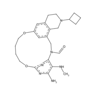 CNc1c(N)nc2nc1N(C=O)Cc1cc(cc3c1CN(C1CCC1)CC3)OCCCCO2